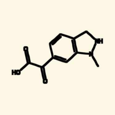 CN1NCc2ccc(C(=O)C(=O)O)cc21